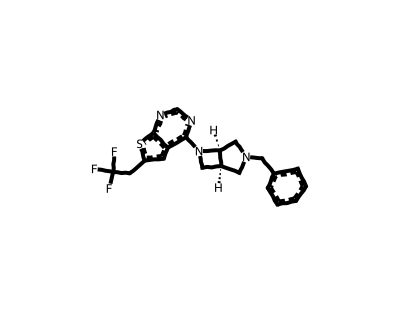 FC(F)(F)Cc1cc2c(N3C[C@@H]4CN(Cc5ccccc5)C[C@@H]43)ncnc2s1